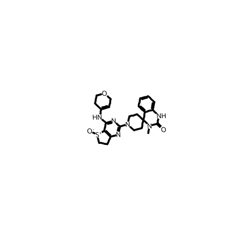 CN1C(=O)Nc2ccccc2C12CCN(c1nc3c(c(NC4=CCOCC4)n1)[S+]([O-])CC3)CC2